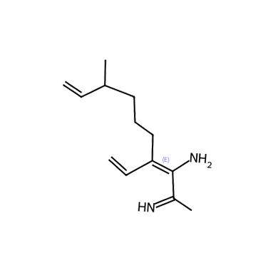 C=C/C(CCCC(C)C=C)=C(/N)C(C)=N